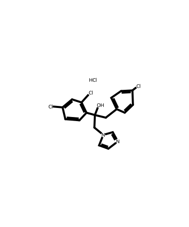 Cl.OC(Cc1ccc(Cl)cc1)(Cn1ccnc1)c1ccc(Cl)cc1Cl